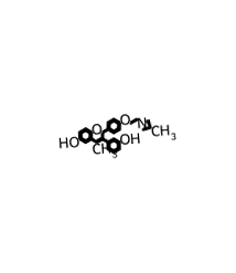 CC1=C(c2cccc(O)c2)C(c2ccc(OCCN3CC(C)C3)cc2)Oc2ccc(O)cc21